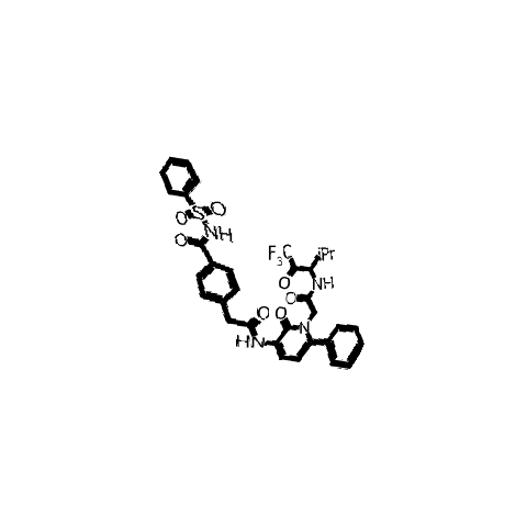 CC(C)C(NC(=O)Cn1c(-c2ccccc2)ccc(NC(=O)Cc2ccc(C(=O)NS(=O)(=O)c3ccccc3)cc2)c1=O)C(=O)C(F)(F)F